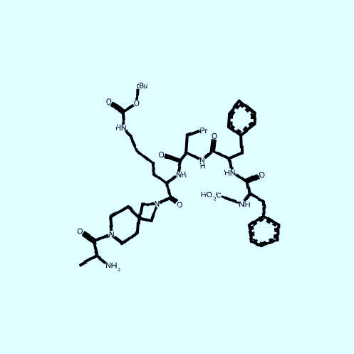 CC(C)CC(NC(=O)C(Cc1ccccc1)NC(=O)C(Cc1ccccc1)NC(=O)O)C(=O)NC(CCCCNC(=O)OC(C)(C)C)C(=O)N1CC2(CCN(C(=O)C(C)N)CC2)C1